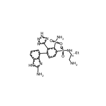 CC[C@H](CN)NS(=O)(=O)c1ccc(-c2cccc3[nH]c(N)nc23)c(-c2nn[nH]n2)c1S(N)(=O)=O